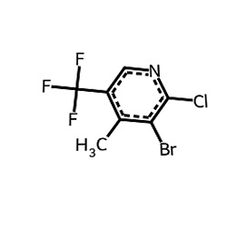 Cc1c(C(F)(F)F)cnc(Cl)c1Br